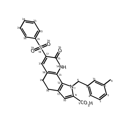 Cc1cccc(Cn2c(C(=O)O)cc3c2-c2[nH]c(=O)c(S(=O)(=O)c4ccccc4)cc2CC3)c1